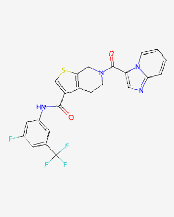 O=C(Nc1cc(F)cc(C(F)(F)F)c1)c1csc2c1CCN(C(=O)c1cnc3ccccn13)C2